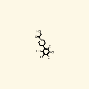 O=C(CO)N1CCC(c2c(O)c(Cl)c(Cl)c(Cl)c2Cl)CC1